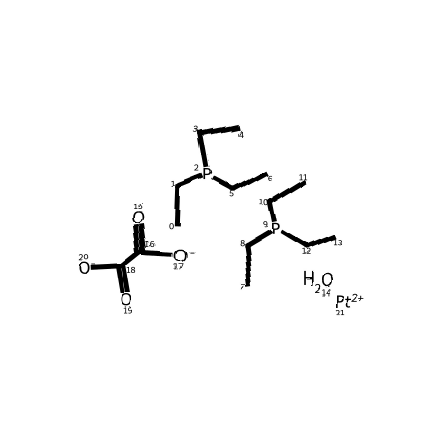 CCP(CC)CC.CCP(CC)CC.O.O=C([O-])C(=O)[O-].[Pt+2]